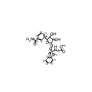 COC(=O)[C@H](C)NP(=O)(OCC1OC([n+]2cccc(C(N)=O)c2)C(O)C1O)Oc1ccccc1